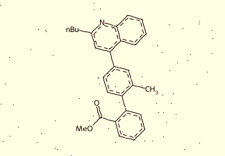 CCCCc1cc(-c2ccc(-c3ccccc3C(=O)OC)c(C)c2)c2ccccc2n1